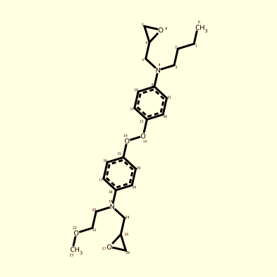 CCCCN(CC1CO1)c1ccc(OOc2ccc(N(CCOC)CC3CO3)cc2)cc1